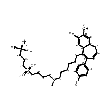 CN(CCCCCCC1=C(c2ccc(F)cc2)C=CCC2C=C(O)C(F)=CC12)CCCCS(=O)(=O)CCCC(F)(F)C(F)(F)F